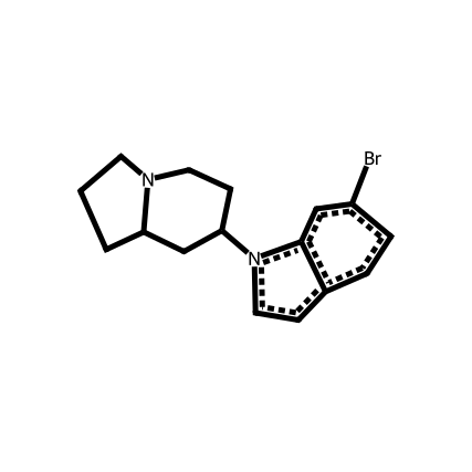 Brc1ccc2ccn(C3CCN4CCCC4C3)c2c1